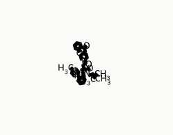 CN1CCN(c2ccccc2C2SC(CC(=O)N3CCC4(CC3)CC(=O)c3ccccc3O4)C(=O)N2CCC(C)(C)C)CC1